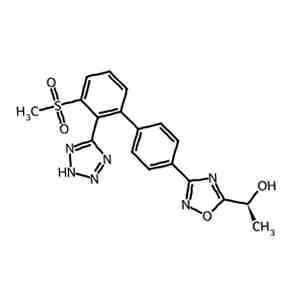 C[C@H](O)c1nc(-c2ccc(-c3cccc(S(C)(=O)=O)c3-c3nn[nH]n3)cc2)no1